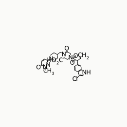 C=CC(c1ccc2c(Cl)c[nH]c2c1)S(=O)(=O)N1CC(=O)N(CC2CCN(c3ccc(=O)n(C)n3)CC2)C(C(=O)O)C1